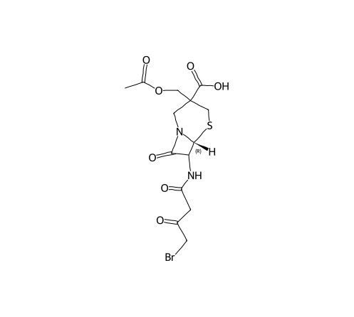 CC(=O)OCC1(C(=O)O)CS[C@@H]2C(NC(=O)CC(=O)CBr)C(=O)N2C1